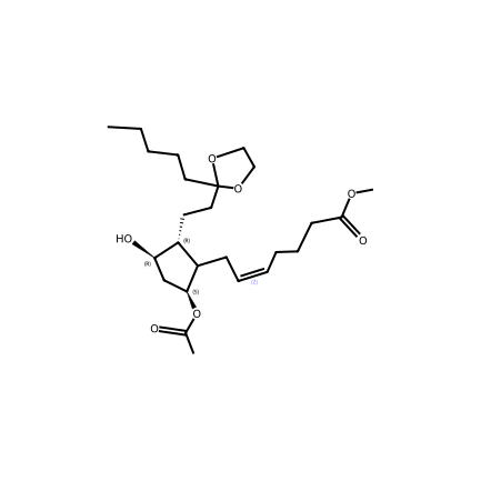 CCCCCC1(CC[C@@H]2C(C/C=C\CCCC(=O)OC)[C@@H](OC(C)=O)C[C@H]2O)OCCO1